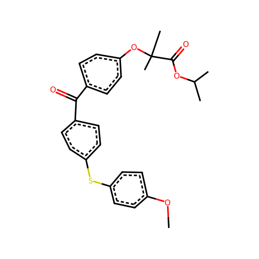 COc1ccc(Sc2ccc(C(=O)c3ccc(OC(C)(C)C(=O)OC(C)C)cc3)cc2)cc1